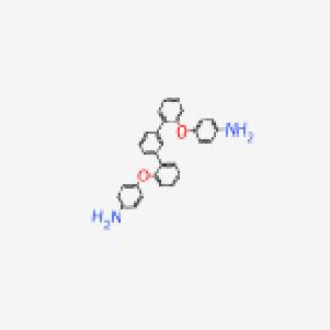 Nc1ccc(Oc2ccccc2-c2cccc(-c3ccccc3Oc3ccc(N)cc3)c2)cc1